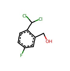 OCc1cc(F)ccc1C(Cl)Cl